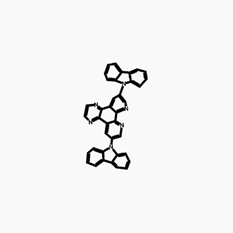 c1ccc2c(c1)c1ccccc1n2-c1cnc2c(c1)c1nccnc1c1cc(-n3c4ccccc4c4ccccc43)cnc12